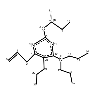 C=CCc1nc(O[C@H](C)CC)nc(N(CCC)CCC)c1CCC